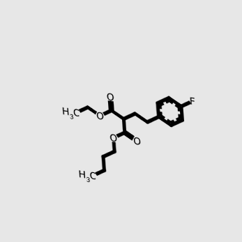 CCCCOC(=O)C(CCc1ccc(F)cc1)C(=O)OCC